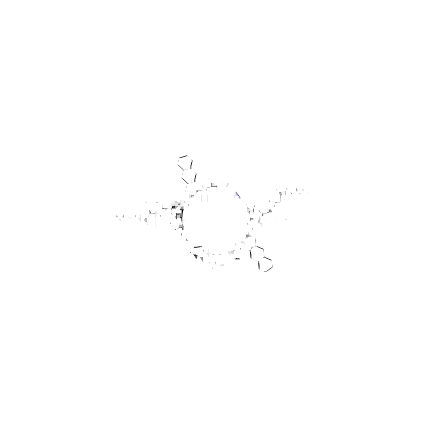 CN[C@@H](C)C(=O)N[C@H](C(=O)N[C@H]1C/C=C/CC[C@@H](C(=O)O)NC(=O)[C@H](Cc2ccc3ccccc3c2)NC(=O)[C@@H]2[C@@H](CCN2C(=O)[C@@H](NC(=O)[C@H](C)NC)C(C)(C)C)OCc2cn(nn2)CC[C@@H](C(=O)OC)NC(=O)[C@H](Cc2ccc3ccccc3c2)NC1=O)C(C)(C)C